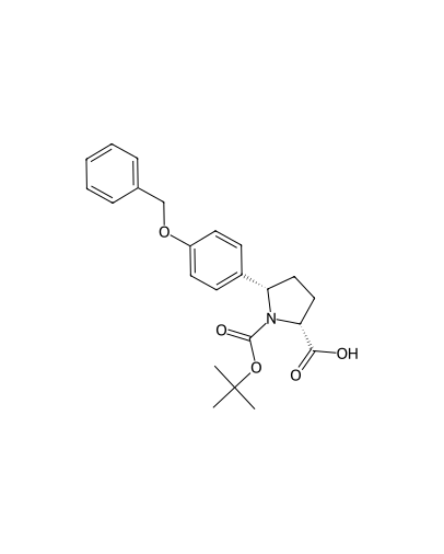 CC(C)(C)OC(=O)N1[C@@H](C(=O)O)CC[C@H]1c1ccc(OCc2ccccc2)cc1